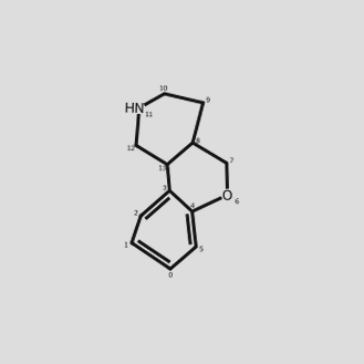 c1ccc2c(c1)OCC1CCNCC21